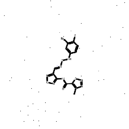 Cc1nnsc1C(=O)Nc1nonc1/C=N/ONc1ccc(F)c(Br)c1